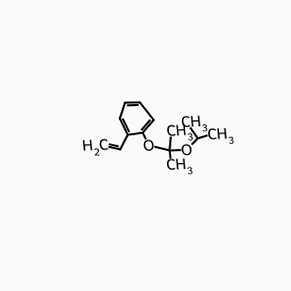 C=Cc1ccccc1OC(C)(C)OC(C)C